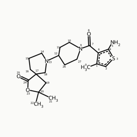 Cc1csc(N)c1C(=O)N1CCC(N2CCCC3(C2)CC(C)(C)OC3=O)CC1